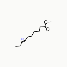 CC/C=C/CCCCCC(=O)OC